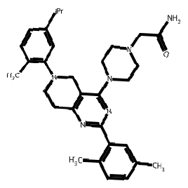 Cc1ccc(C)c(-c2nc3c(c(N4CCN(CC(N)=O)CC4)n2)CN(c2cc(C(C)C)ccc2C)CC3)c1